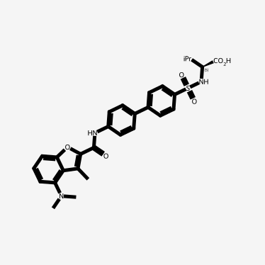 Cc1c(C(=O)Nc2ccc(-c3ccc(S(=O)(=O)N[C@H](C(=O)O)C(C)C)cc3)cc2)oc2cccc(N(C)C)c12